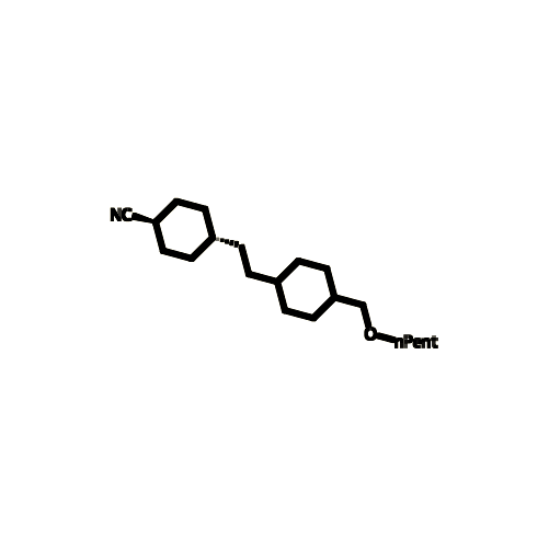 CCCCCOCC1CCC(CC[C@H]2CC[C@H](C#N)CC2)CC1